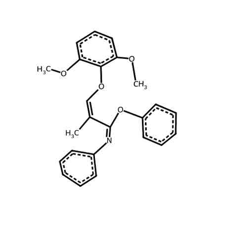 COc1cccc(OC)c1OC=C(C)C(=Nc1ccccc1)Oc1ccccc1